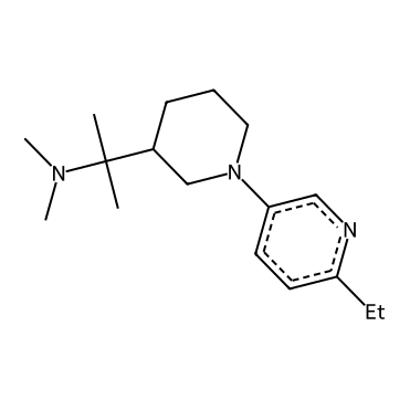 CCc1ccc(N2CCCC(C(C)(C)N(C)C)C2)cn1